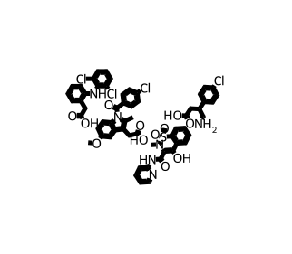 CN1C(C(=O)Nc2ccccn2)=C(O)c2ccccc2S1(=O)=O.COc1ccc2c(c1)c(CC(=O)O)c(C)n2C(=O)c1ccc(Cl)cc1.NCC(CC(=O)O)c1ccc(Cl)cc1.O=C(O)Cc1ccccc1Nc1c(Cl)cccc1Cl